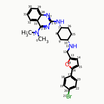 CN(C)c1nc(N[C@H]2CC[C@@H](NCc3ccc(-c4ccc(Br)cc4)o3)CC2)nc2ccccc12